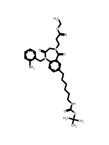 CCOC(=O)CCN1CC(=O)N(Cc2ccccc2N)c2ccc(CCCCCCNC(=O)OC(C)(C)C)cc2C1=O